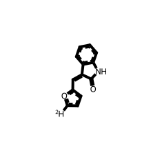 [2H]c1ccc(C=C2C(=O)Nc3ccccc32)o1